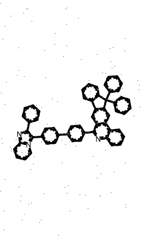 c1ccc(-c2nc3ccccn3c2-c2ccc(-c3ccc(-c4nc5ccccc5c5cc6c(cc45)-c4ccccc4C6(c4ccccc4)c4ccccc4)cc3)cc2)cc1